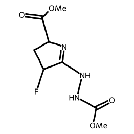 COC(=O)NNC1=NC(C(=O)OC)CC1F